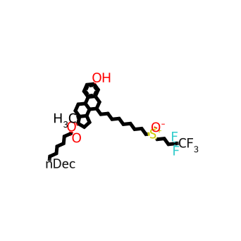 CCCCCCCCCCCCCCCC(=O)OC1CCC2C3C(CCCCCCCCC[S+]([O-])CCCC(F)(F)C(F)(F)F)Cc4cc(O)ccc4C3CCC12C